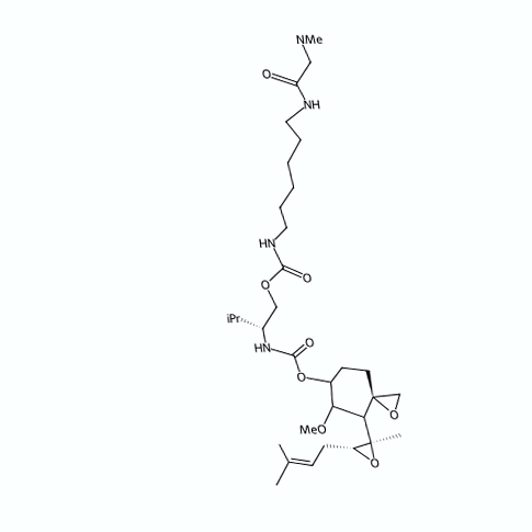 CNCC(=O)NCCCCCCNC(=O)OC[C@H](NC(=O)OC1CC[C@]2(CO2)C([C@@]2(C)O[C@@H]2CC=C(C)C)C1OC)C(C)C